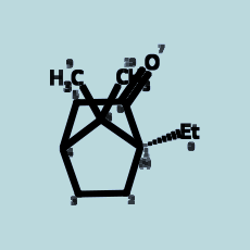 CC[C@@]12CCC(CC1=O)C2(C)C